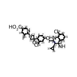 N=C/C(=C(/COc1ccc(C2(O)CN(c3ncc(C(=O)O)cc3F)C2)c(Cl)c1)Nc1c(Cl)cccc1Cl)C1CC1